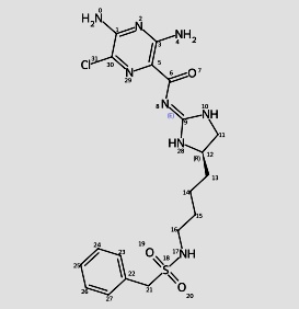 Nc1nc(N)c(C(=O)/N=C2\NC[C@@H](CCCCNS(=O)(=O)Cc3ccccc3)N2)nc1Cl